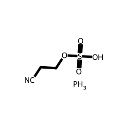 N#CCCOS(=O)(=O)O.P